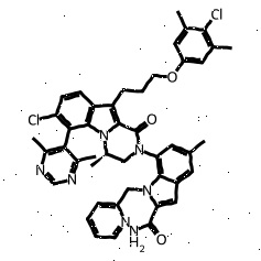 Cc1cc(N2C[C@@H](C)n3c(c(CCCOc4cc(C)c(Cl)c(C)c4)c4ccc(Cl)c(-c5c(C)ncnc5C)c43)C2=O)c2c(c1)cc(C(N)=O)n2Cc1ccccn1